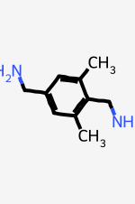 Cc1cc(CN)cc(C)c1CN